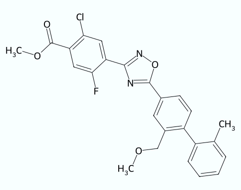 COCc1cc(-c2nc(-c3cc(Cl)c(C(=O)OC)cc3F)no2)ccc1-c1ccccc1C